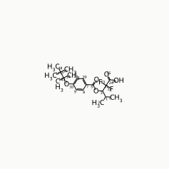 CC(C)C(OC(=O)c1ccc(OC(C)(C)C(C)(C)C)cc1)C(F)(F)C(=O)O